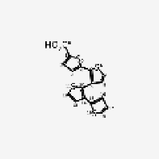 O=C(O)c1ccc(-c2sccc2-c2sccc2-c2cccs2)s1